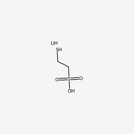 O=S(=O)(O)CCS.[LiH]